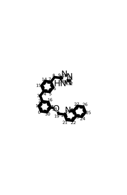 c1cc(Cc2ccc(Cc3nnn[nH]3)cc2)cc(OCc2ccc3ccccc3n2)c1